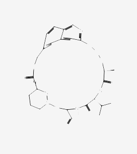 CC(C)[C@@H]1NC(=O)[C@H](C)CCCc2cc3cc(ccc3cn2)[C@@H](C)OC(=O)[C@@H]2CCCN(C[C@](C)(C=O)NC1=O)N2